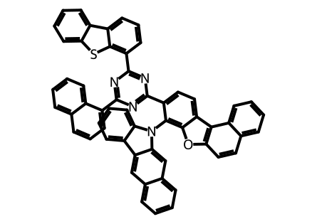 c1ccc2cc3c(cc2c1)c1ccccc1n3-c1c(-c2nc(-c3cccc4ccccc34)nc(-c3cccc4c3sc3ccccc34)n2)ccc2c1oc1ccc3ccccc3c12